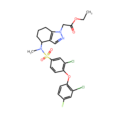 CCOC(=O)Cn1ncc2c1CCCC2N(C)S(=O)(=O)c1ccc(Oc2ccc(F)cc2Cl)c(Cl)c1